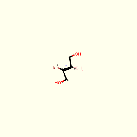 B/C(CO)=C(/Br)CO